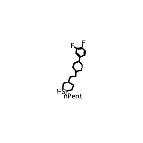 CCCCC[SiH]1CCC(CCC2CCC(c3ccc(F)c(F)c3)CC2)CC1